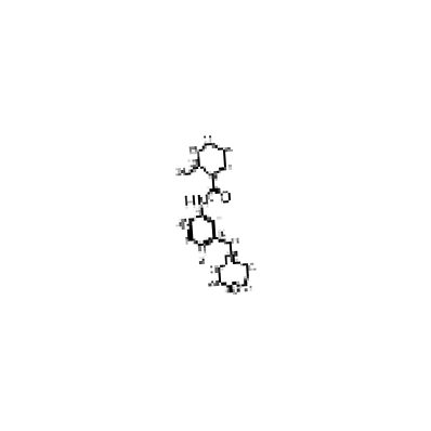 Cc1cnc(NC(=O)C2CCCCC2C)cc1CN1CCOCC1